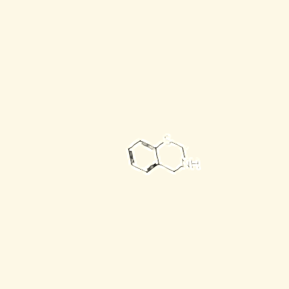 [CH]1NCc2ccccc2S1